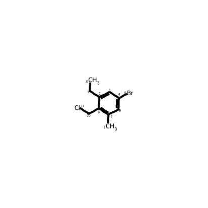 CCc1cc(Br)cc(C)c1CCl